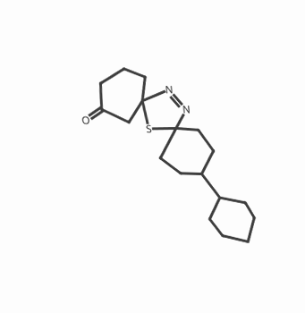 O=C1CCCC2(C1)N=NC1(CCC(C3CCCCC3)CC1)S2